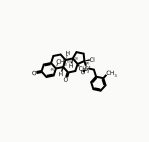 Cc1ccccc1C[S+]([O-])[C@@]1(Cl)CC[C@H]2[C@@H]3CCC4=CC(=O)C=C[C@]4(C)[C@H]3C(=O)C[C@@]21C